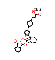 CC(C)(C)OC(=O)C=Cc1ccc(-c2ccc(OCN3C(=O)c4ccccc4C3=O)c(C34CC5CC(CC(C5)C3)C4)c2)cc1